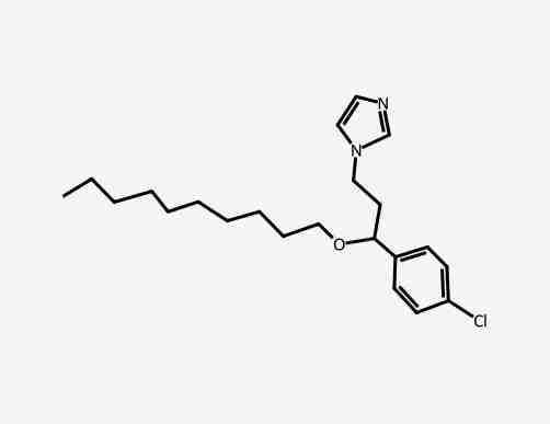 CCCCCCCCCCOC(CCn1ccnc1)c1ccc(Cl)cc1